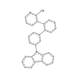 N#Cc1ncccc1-c1ccccc1-c1cccc(-n2c3ccccc3c3ccccc32)c1